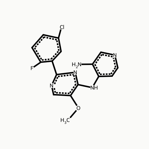 COc1cnc(-c2cc(Cl)ccc2F)nc1Nc1ccncc1N